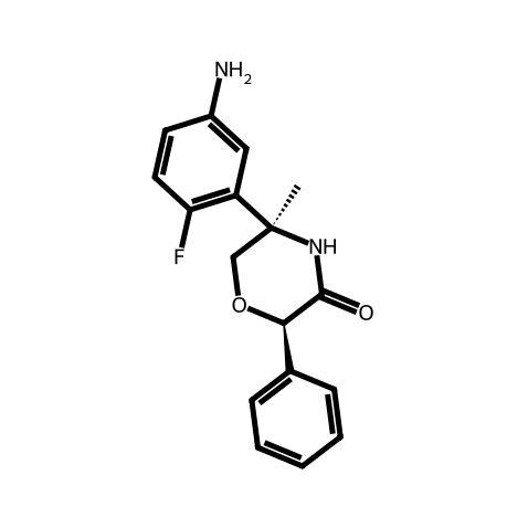 C[C@@]1(c2cc(N)ccc2F)CO[C@H](c2ccccc2)C(=O)N1